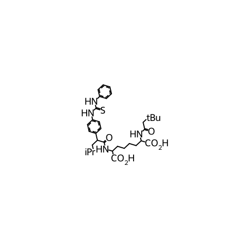 CC(C)CC(C(=O)NC(CCCCC(NC(=O)CC(C)(C)C)C(=O)O)C(=O)O)c1ccc(NC(=S)Nc2ccccc2)cc1